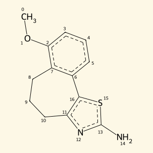 COc1cccc2c1CCCc1nc(N)sc1-2